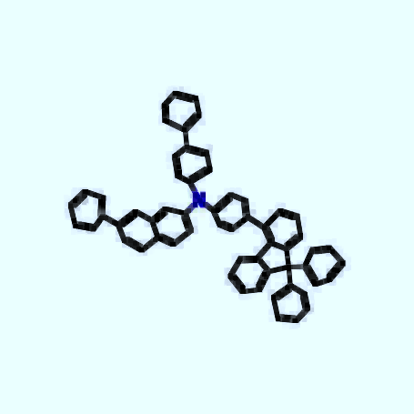 c1ccc(-c2ccc(N(c3ccc(-c4cccc5c4-c4ccccc4C5(c4ccccc4)c4ccccc4)cc3)c3ccc4ccc(-c5ccccc5)cc4c3)cc2)cc1